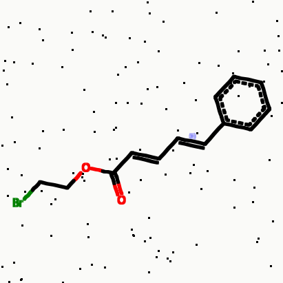 O=C(C=C/C=C/c1ccccc1)OCCBr